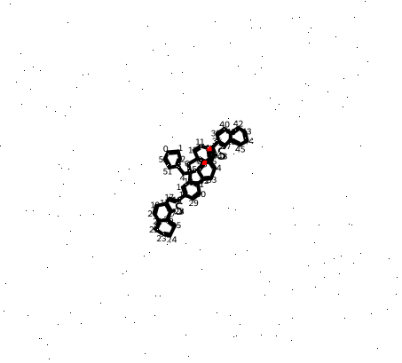 c1ccc(CC2(Cc3ccccc3)c3cc(-c4cc5ccc6ccccc6c5s4)ccc3-c3ccc(-c4cc5ccc6ccccc6c5s4)cc32)cc1